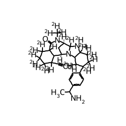 [2H]N1C2([2H])C(N3[C@@H]4C[C@@]([2H])(N(C([2H])([2H])[2H])C(=O)C5([2H])C4C([2H])(C#C)C([2H])([2H])C([2H])([2H])C5([2H])[2H])C31[2H])C([2H])([2H])C([2H])(c1ccc(C(C)N)cc1)C([2H])([2H])C2([2H])[2H]